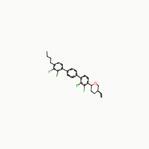 C=CC1CCC(c2ccc(-c3ccc(-c4ccc(CCCC)c(F)c4F)cc3)c(F)c2F)OC1